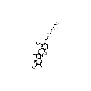 Cc1cc2nc(Cc3c(Cl)ccc(CCOCCNC=O)c3Cl)c(C)n2nc1Cl